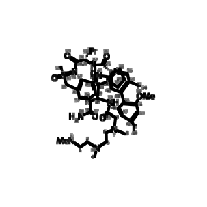 CNCCN(C)CCN(C)CC(=O)N[C@@H](CC(N)=O)C(=O)N1CCC[C@H]1C(=O)N[C@H](C(=O)N=[S@@](C)(=O)Cc1ccnc(Nc2cc(-c3ccc(F)cc3OC)c(F)cn2)c1)C(C)C